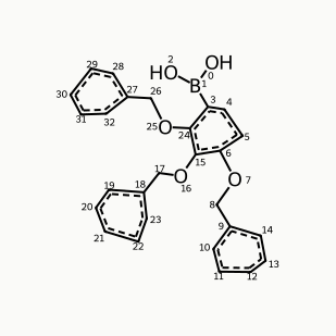 OB(O)c1ccc(OCc2ccccc2)c(OCc2ccccc2)c1OCc1ccccc1